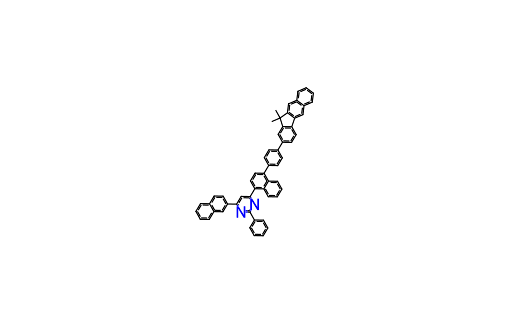 CC1(C)c2cc(-c3ccc(-c4ccc(-c5cc(-c6ccc7ccccc7c6)nc(-c6ccccc6)n5)c5ccccc45)cc3)ccc2-c2cc3ccccc3cc21